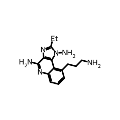 CCc1nc2c(N)nc3cccc(CCCN)c3c2n1N